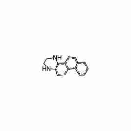 c1ccc2c(c1)ccc1c3c(ccc12)NCCN3